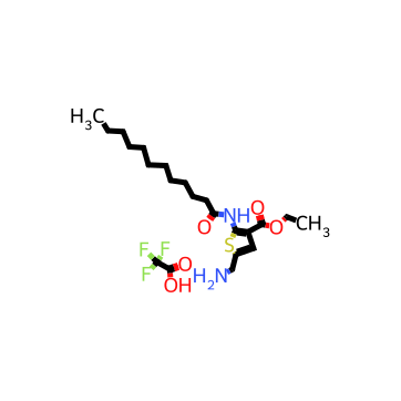 CCCCCCCCCCCC(=O)Nc1sc(CN)cc1C(=O)OCC.O=C(O)C(F)(F)F